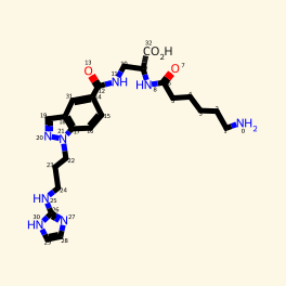 NCCCCCC(=O)NC(CNC(=O)c1ccc2c(cnn2CCCNc2ncc[nH]2)c1)C(=O)O